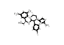 Nc1ncc(N2CCOC(O[C@@H](CO)c3cc(C(F)(F)F)cc(C(F)(F)F)c3)C2c2ccc(F)cc2)s1